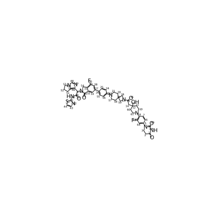 O=C1CCN(c2ccc(N3CCC(O)(CC(=O)N4CC5(CCN(c6ccc(-c7cc(F)c8c(c7)C(=O)N(C(C(=O)Nc7nccs7)c7ncn9c7CCC9)C8)cc6)CC5)C4)CC3)c(F)c2)C(=O)N1